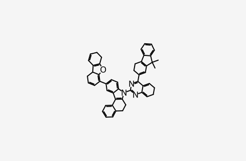 CC1(C)C2=C(CCC(c3nc(-n4c5c(c6cc(C7=C8OC9=C(C=CCC9)C8CC=C7)ccc64)-c4ccccc4CC5)nc4c3=CCCC=4)=C2)c2ccccc21